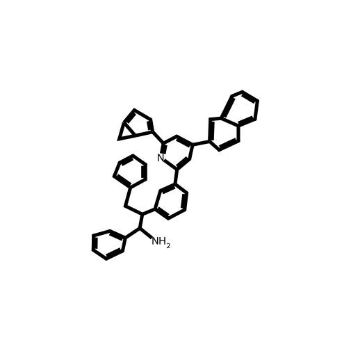 NC(c1ccccc1)C(Cc1ccccc1)c1cccc(-c2cc(-c3ccc4ccccc4c3)cc(C3=CC=C4CC43)n2)c1